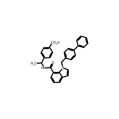 CC(NC(=O)c1cccc2ccn(Cc3ccc(-c4ccccc4)cc3)c12)c1ccc(C(=O)O)cc1